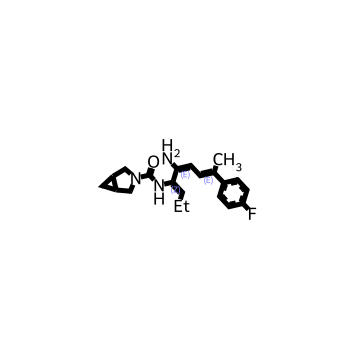 CC/C=C(NC(=O)N1CC2CC2C1)/C(N)=C\C=C(/C)c1ccc(F)cc1